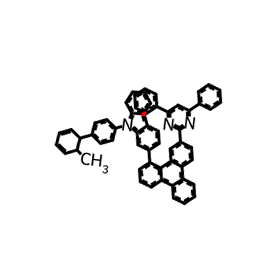 CC1C=CC=CC1c1ccc(-n2c3ccccc3c3ccc(-c4cccc5c6ccccc6c6ccc(-c7nc(-c8ccccc8)cc(-c8ccccc8)n7)cc6c45)cc32)cc1